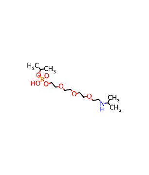 CC(C)NCCOCCOCCOCCOP(=O)(O)OC(C)C